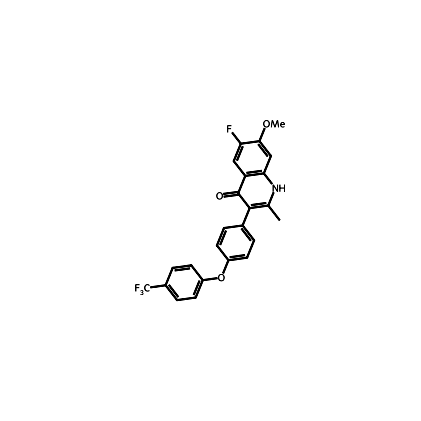 COc1cc2[nH]c(C)c(-c3ccc(Oc4ccc(C(F)(F)F)cc4)cc3)c(=O)c2cc1F